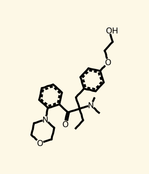 CCC(Cc1ccc(OCCO)cc1)(C(=O)c1ccccc1N1CCOCC1)N(C)C